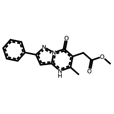 COC(=O)Cc1c(C)[nH]c2cc(-c3ccccc3)nn2c1=O